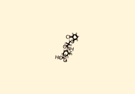 CC(C)(COc1ccccc1Cl)C(=O)NC1CCN(C(=O)O)CC1F